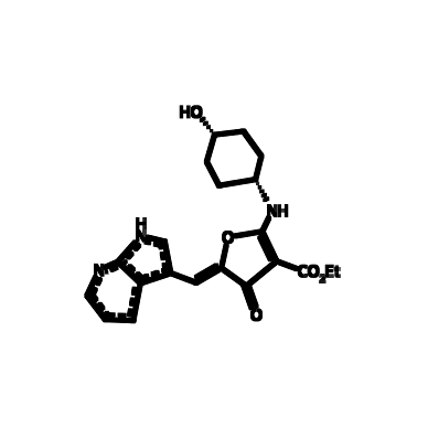 CCOC(=O)C1=C(N[C@H]2CC[C@@H](O)CC2)OC(=Cc2c[nH]c3ncccc23)C1=O